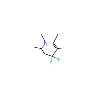 CC1=C(C)C(F)(F)CC(C)N1C